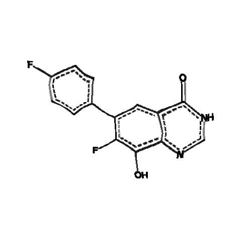 O=c1[nH]cnc2c(O)c(F)c(-c3ccc(F)cc3)cc12